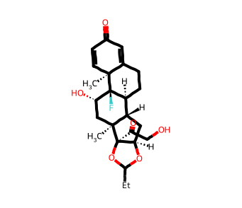 CCC1O[C@@H]2C[C@H]3[C@@H]4CCC5=CC(=O)C=C[C@]5(C)[C@@]4(F)[C@@H](O)C[C@]3(C)[C@]2(C(=O)CO)O1